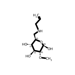 C=CCNC[C@H]1O[C@@H](O)[C@H](OC)[C@@H](O)[C@@H]1O